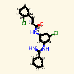 N=C(Nc1cc(Cl)cc(NC(=O)/C=C/c2ccccc2Cl)c1)c1ccccc1